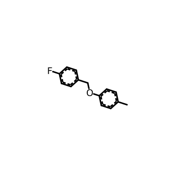 Cc1ccc(OCc2ccc(F)cc2)cc1